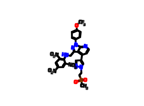 CS(=O)(=O)CCn1cc(-c2ccnc3c2c(CNc2c([N+](=O)[O-])cc([N+](=O)[O-])cc2[N+](=O)[O-])nn3-c2ccc(OC(F)(F)F)cc2)cn1